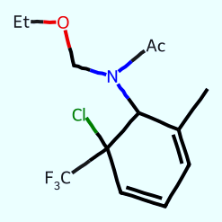 CCOCN(C(C)=O)C1C(C)=CC=CC1(Cl)C(F)(F)F